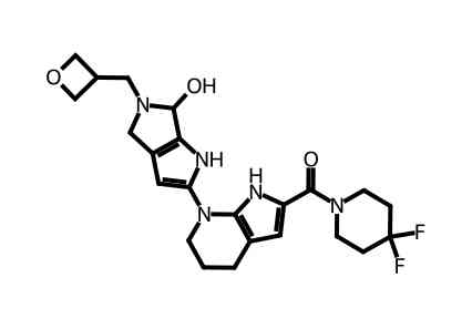 O=C(c1cc2c([nH]1)N(c1cc3c([nH]1)C(O)N(CC1COC1)C3)CCC2)N1CCC(F)(F)CC1